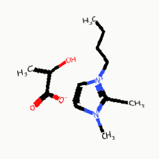 CC(O)C(=O)[O-].CCCC[n+]1ccn(C)c1C